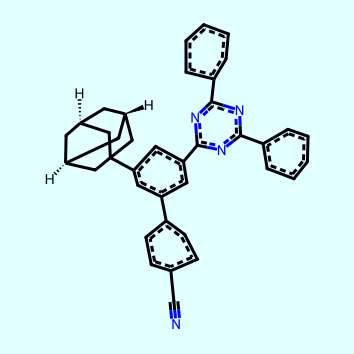 N#Cc1ccc(-c2cc(-c3nc(-c4ccccc4)nc(-c4ccccc4)n3)cc(C34C[C@H]5C[C@H](C3)C[C@@H](C4)C5)c2)cc1